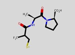 C[C@H](NC(=O)C(CS)C(F)(F)F)C(=O)N1CCC[C@@H]1C(=O)O